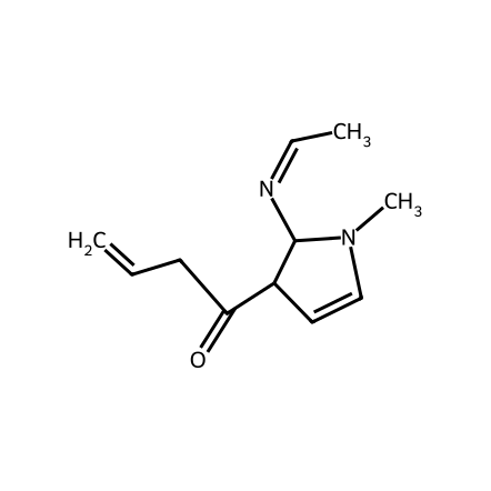 C=CCC(=O)C1C=CN(C)C1/N=C\C